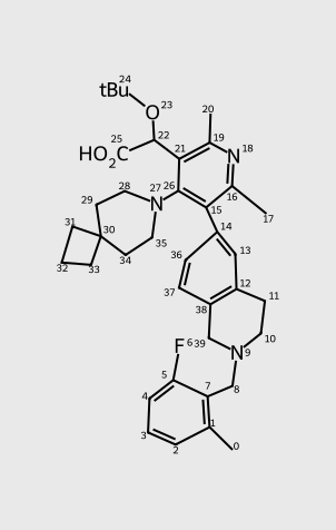 Cc1cccc(F)c1CN1CCc2cc(-c3c(C)nc(C)c(C(OC(C)(C)C)C(=O)O)c3N3CCC4(CCC4)CC3)ccc2C1